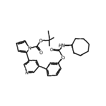 CC(C)(C)OC(=O)n1cccc1-c1cncc(-c2cccc(OC(=O)NC3CCCCCC3)c2)c1